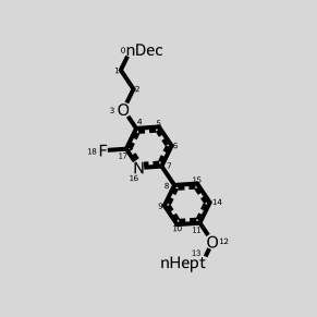 CCCCCCCCCCCCOc1ccc(-c2ccc(OCCCCCCC)cc2)nc1F